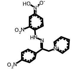 O=[N+]([O-])c1ccc(/C(C[n+]2ccccc2)=N\Nc2ccc([NH+]([O-])O)cc2[N+](=O)[O-])cc1